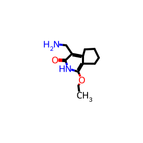 CCOc1[nH]c(=O)c(CN)c2c1CCCC2